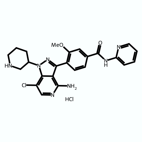 COc1cc(C(=O)Nc2ccccn2)ccc1-c1nn(C2CCCNC2)c2c(Cl)cnc(N)c12.Cl